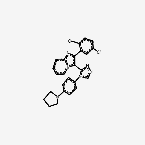 Clc1ccc(Cl)c(-c2nc3ccccn3c2-c2nncn2-c2ccc(N3CCCC3)cc2)c1